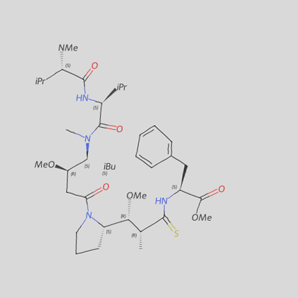 CC[C@H](C)[C@@H]([C@@H](CC(=O)N1CCC[C@H]1[C@H](OC)[C@@H](C)C(=S)N[C@@H](Cc1ccccc1)C(=O)OC)OC)N(C)C(=O)[C@@H](NC(=O)[C@@H](NC)C(C)C)C(C)C